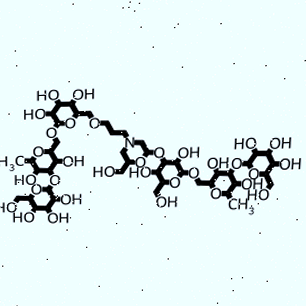 CC1OC(COC2OC(COCCCN3CC(CO)OC(OC4C(O)C(CO)OC(OCC5OC(C)C(O)C(OC6OC(CO)C(O)C(O)C6O)C5O)C4O)C3)C(O)C(O)C2O)C(O)C(OC2OC(CO)C(O)C(O)C2O)C1O